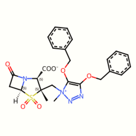 C[C@]1(C[N+]2(C)N=NC(OCc3ccccc3)=C2OCc2ccccc2)[C@H](C(=O)[O-])N2C(=O)C[C@@H]2S1(=O)=O